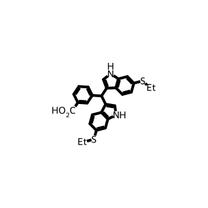 CCSc1ccc2c(C(c3cccc(C(=O)O)c3)c3c[nH]c4cc(SCC)ccc34)c[nH]c2c1